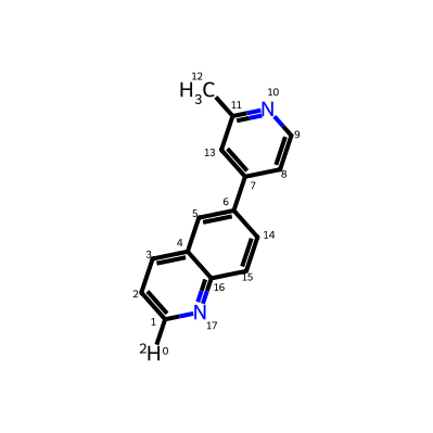 [2H]c1ccc2cc(-c3ccnc(C)c3)ccc2n1